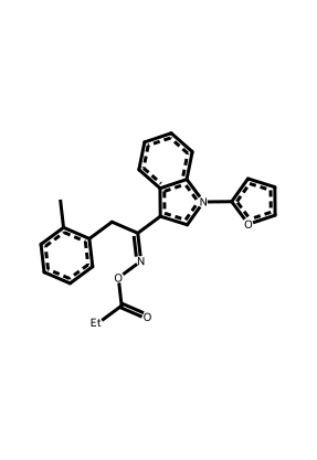 CCC(=O)O/N=C(\Cc1ccccc1C)c1cn(-c2ccco2)c2ccccc12